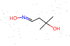 CC(C)(O)CC=NO